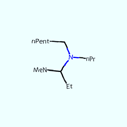 CCCCCCN(CCC)C(CC)NC